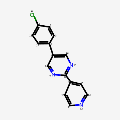 Clc1ccc(-c2cnc(-c3ccncc3)nc2)cc1